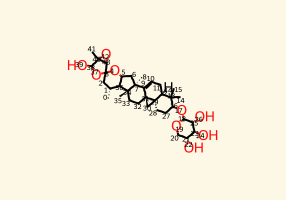 C[C@@H]1CC2(OC3C[C@@]4(C)C5=CC[C@H]6C(C)(C)C(O[C@@H]7OC[C@@H](O)[C@H](O)[C@H]7O)CC[C@@]67C[C@@]57CC[C@]4(C)C31)OC(O)C1(C)OC21